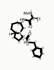 CC[C@H](NC)C(=O)N[C@H]1CCC[C@H]2CC[C@@H](C(=O)NCc3ccccc3)N2C1